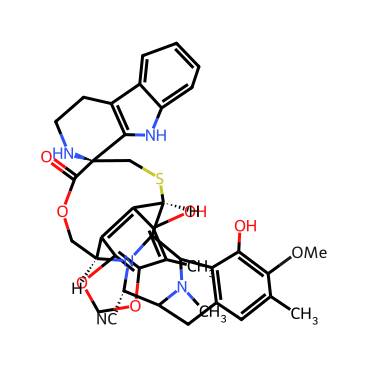 COc1c(C)cc2c(c1O)C1C3[C@@H]4SC[C@]5(NCCc6c5[nH]c5ccccc65)C(=O)OC[C@@H](c5c6c(c(C)c(O)c54)OCO6)N3[C@@H](C#N)C(C2)N1C